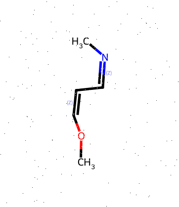 C/N=C\C=C/OC